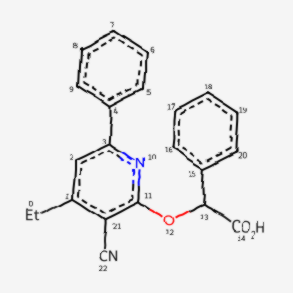 CCc1cc(-c2ccccc2)nc(OC(C(=O)O)c2ccccc2)c1C#N